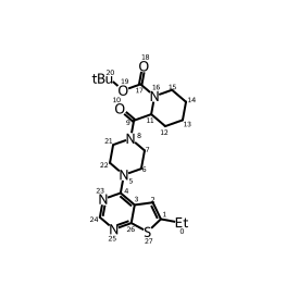 CCc1cc2c(N3CCN(C(=O)C4CCCCN4C(=O)OC(C)(C)C)CC3)ncnc2s1